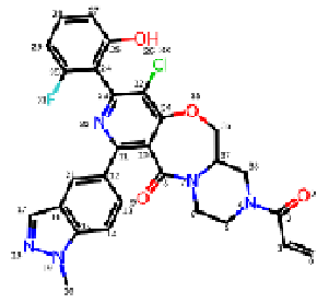 C=CC(=O)N1CCN2C(=O)c3c(-c4ccc5c(cnn5C)c4)nc(-c4c(O)cccc4F)c(Cl)c3OCC2C1